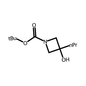 CCCC1(O)CN(C(=O)OC(C)(C)C)C1